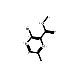 C=C(OC)c1nc(C)cnc1Br